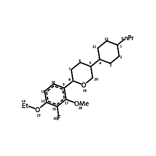 CCCC1CCC(C2CCC(c3ccc(OCC)c(F)c3OC)OC2)CC1